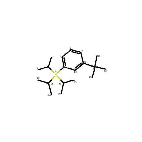 CC(C)S(c1cccc(C(C)(C)C)c1)(C(C)C)C(C)C